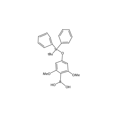 COc1cc(O[Si](c2ccccc2)(c2ccccc2)C(C)(C)C)cc(OC)c1B(O)O